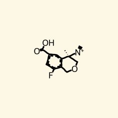 C#[N+][C@@]1(C)COCc2c(F)cc(C(=O)O)cc21